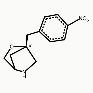 O=[N+]([O-])c1ccc(C[C@]23CNC(CO2)C3)cc1